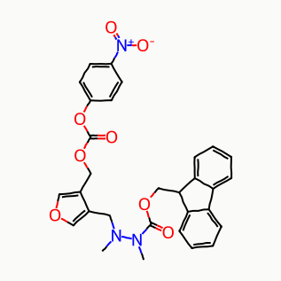 CN(Cc1cocc1COC(=O)Oc1ccc([N+](=O)[O-])cc1)N(C)C(=O)OCC1c2ccccc2-c2ccccc21